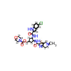 CN1CCc2nc(C(=O)NC3CC(COC(=O)N4CCOCC4)CC3NC(=O)c3cc4cc(Cl)ccc4[nH]3)sc2C1